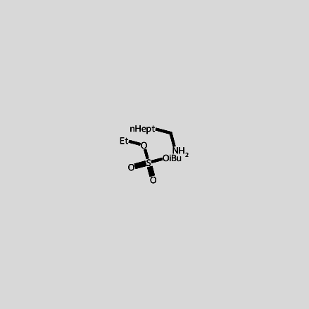 CCCCCCCCN.CCOS(=O)(=O)OCC(C)C